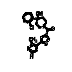 Cc1n[nH]cc1-c1cc(C(=O)N2CCC(O)(c3ccccc3Cl)CC2)cs1